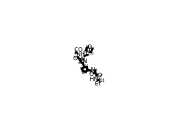 CCOC(=O)CNC(=O)c1cc(-c2cccc(-c3ncc(C(=O)NC(CC)CC)o3)c2)nn1CCN1CCOCC1